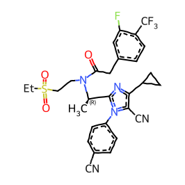 CCS(=O)(=O)CCN(C(=O)Cc1ccc(C(F)(F)F)c(F)c1)[C@H](C)c1nc(C2CC2)c(C#N)n1-c1ccc(C#N)cc1